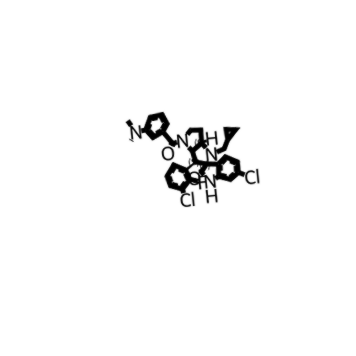 CN(C)c1cccc(C(=O)N2CC[C@H]3C2[C@H](c2cccc(Cl)c2F)[C@]2(C(=O)Nc4cc(Cl)ccc42)N3CC2CC2)c1